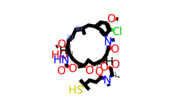 COc1cc2cc(c1Cl)N(C)C(=O)C[C@H](OC(=O)[C@H](C)N(C)C(=O)CCC(C)(C)S)[C@@]1(C)CC(C)(O1)C1C[C@@](O)(NC(=O)O1)[C@H](OC)/C=C/C=C(\C)C2